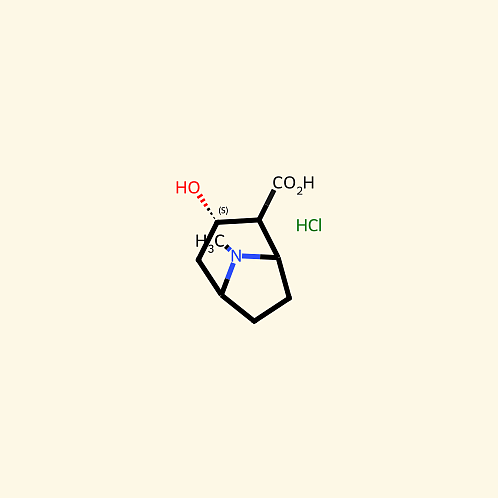 CN1C2CCC1C(C(=O)O)[C@@H](O)C2.Cl